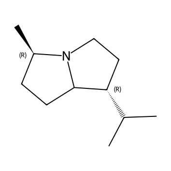 CC(C)[C@H]1CCN2C1CC[C@H]2C